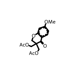 COc1ccc2c(c1)OCC(COC(C)=O)(COC(C)=O)C2=O